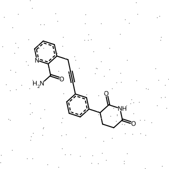 NC(=O)c1ncccc1CC#Cc1cccc(C2CCC(=O)NC2=O)c1